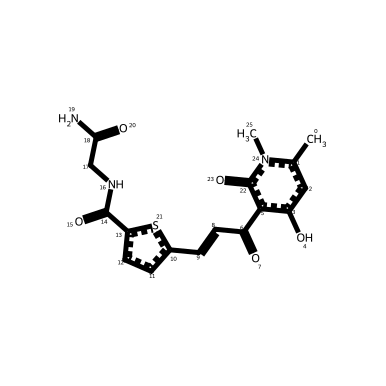 Cc1cc(O)c(C(=O)C=Cc2ccc(C(=O)NCC(N)=O)s2)c(=O)n1C